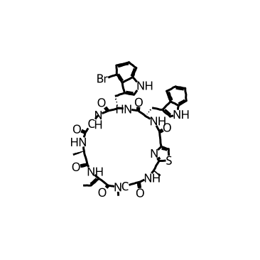 C/C=C1\NC(=O)[C@@H](C)NC(=O)CNC(=O)[C@H](Cc2c[nH]c3cccc(Br)c23)NC(=O)[C@H](Cc2c[nH]c3ccccc23)NC(=O)c2csc(n2)[C@@H](C)NC(=O)CN(C)C1=O